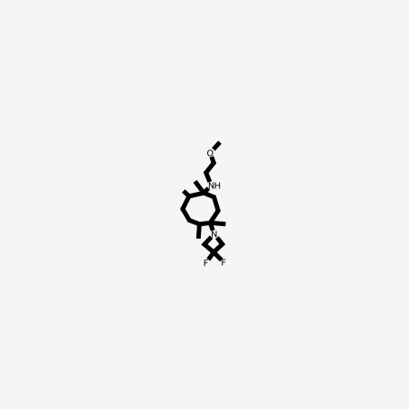 COCCNC1(C)CCC(C)(N2CC(F)(F)C2)C(C)CCC1C